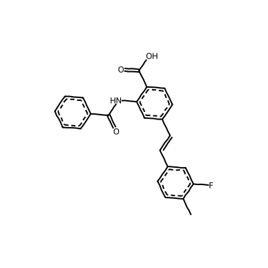 Cc1ccc(C=Cc2ccc(C(=O)O)c(NC(=O)c3ccccc3)c2)cc1F